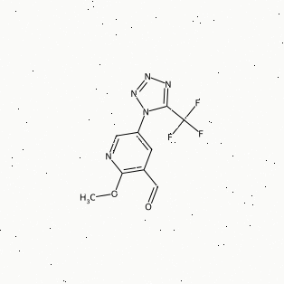 COc1ncc(-n2nnnc2C(F)(F)F)cc1C=O